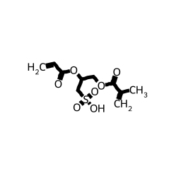 C=CC(=O)OC(COC(=O)C(=C)C)CS(=O)(=O)O